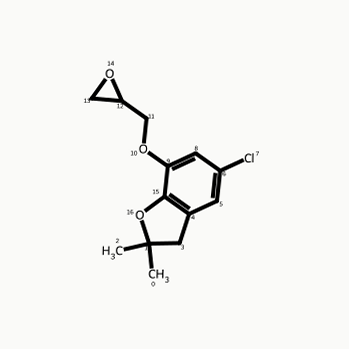 CC1(C)Cc2cc(Cl)cc(OCC3CO3)c2O1